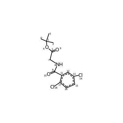 CC(C)(C)OC(=O)CNC(=O)c1cc(Cl)ccc1Cl